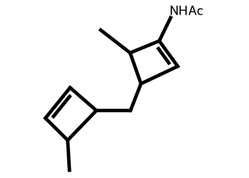 CC(=O)NC1=CC(CC2C=CC2C)C1C